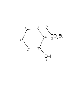 CCOC(C)=O.OC1CCCCC1